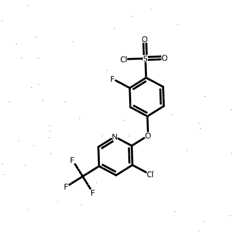 O=S(=O)(Cl)c1ccc(Oc2ncc(C(F)(F)F)cc2Cl)cc1F